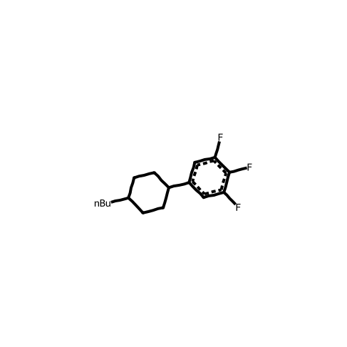 CCCCC1CCC(c2cc(F)c(F)c(F)c2)CC1